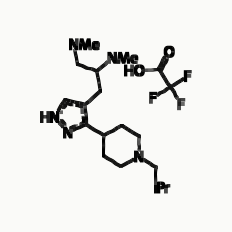 CNCC(Cc1c[nH]nc1C1CCN(CC(C)C)CC1)NC.O=C(O)C(F)(F)F